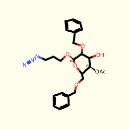 CC(=O)O[C@H]1C(COCc2ccccc2)O[C@@H](OCCCN=[N+]=[N-])C(OCc2ccccc2)C1O